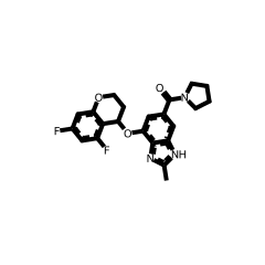 Cc1nc2c(OC3CCOc4cc(F)cc(F)c43)cc(C(=O)N3CCCC3)cc2[nH]1